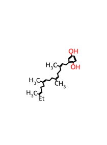 CCC(C)=CCCC(C)=CCCC(C)=CCCC(C)=CCc1cc(O)ccc1O